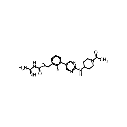 CC(=O)N1CCC(Nc2ncc(-c3cccc(COC(=O)NC(=N)N)c3F)cn2)CC1